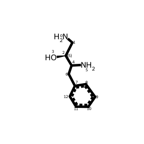 NC[C@H](O)C(N)Cc1ccccc1